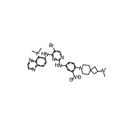 CN(C)C1CC2(CCN(c3ccc(Nc4ncc(Br)c(Nc5ccc6nccnc6c5P(C)C)n4)cc3[N+](=O)[O-])CC2)C1